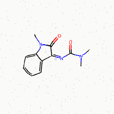 CN(C)C(=O)/N=C1\C(=O)N(C)c2ccccc21